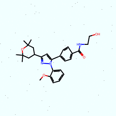 COc1ccccc1-n1nc(C2CC(C)(C)OC(C)(C)C2)cc1-c1ccc(C(=O)NCCO)cc1